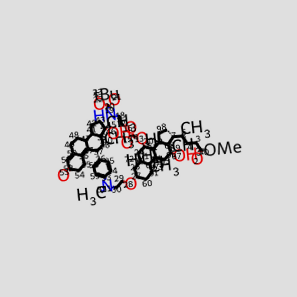 COC(=O)CC[C@@H](C)[C@H]1CC[C@H]2[C@@H]3[C@H](OC(=O)OCCNC(=O)OC(C)(C)C)C[C@@H]4C[C@@H](OCCN(C)c5ccc([C@H]6C[C@@]7(C)C(CC[C@]7(C)O)C7CCC8=CC(=O)CCC8=C76)cc5)CC[C@]4(C)[C@H]3C[C@H](O)[C@]12C